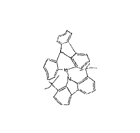 CC(C)(C)c1cccc2c3cccc(C(C)(C)C)c3n(B3c4ccccc4C4(C)c5ccccc5-c5cccc3c54)c12